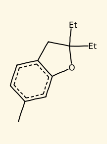 CCC1(CC)Cc2ccc(C)cc2O1